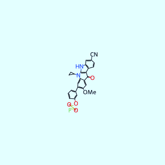 COc1cc2c(=O)c3c4ccc(C#N)cc4[nH]c3n(C3CC3)c2cc1-c1cccc(OS(=O)(=O)F)c1